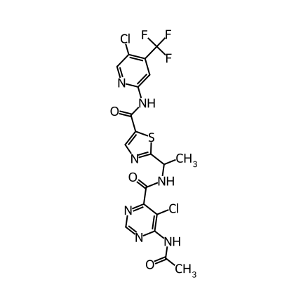 CC(=O)Nc1ncnc(C(=O)NC(C)c2ncc(C(=O)Nc3cc(C(F)(F)F)c(Cl)cn3)s2)c1Cl